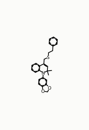 CC1(C)C=C(CSCCc2ccccc2)c2ccccc2N1c1ccc2c(c1)OCO2